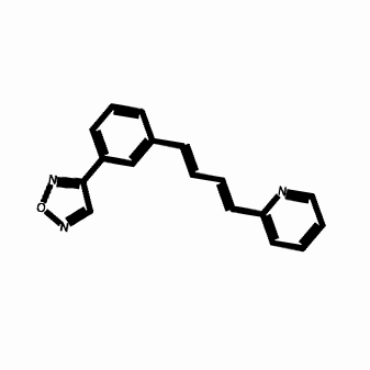 C(C=Cc1ccccn1)=Cc1cccc(-c2cnon2)c1